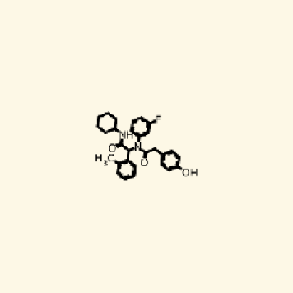 Cc1ccccc1C(C(=O)NC1CCCCC1)N(C(=O)Cc1ccc(O)cc1)c1cccc(F)c1